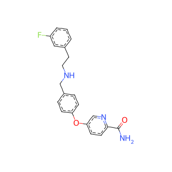 NC(=O)c1ccc(Oc2ccc(CNCCc3cccc(F)c3)cc2)cn1